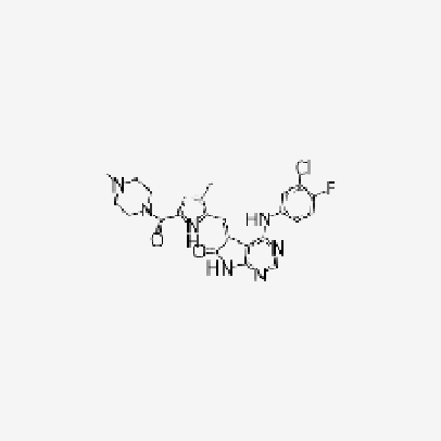 Cc1cc(C(=O)N2CCN(C)CC2)[nH]c1C=C1C(=O)Nc2ncnc(Nc3ccc(F)c(Cl)c3)c21